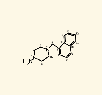 NN1CCN(Cc2cccc3ccccc23)CC1